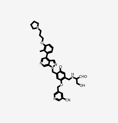 Cc1c(OCCCN2CCCC2)cccc1-c1cncc2c1cnn2Cc1cc(OCc2cncc(C#N)c2)c(CNC(C=O)CO)cc1Cl